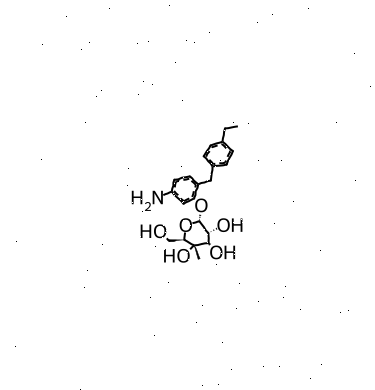 CCc1ccc(Cc2ccc(N)cc2O[C@H]2O[C@H](CO)[C@@](C)(O)[C@H](O)[C@H]2O)cc1